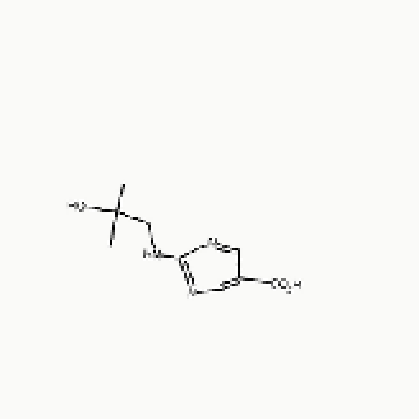 CC(C)(O)CNc1ncc(C(=O)O)cn1